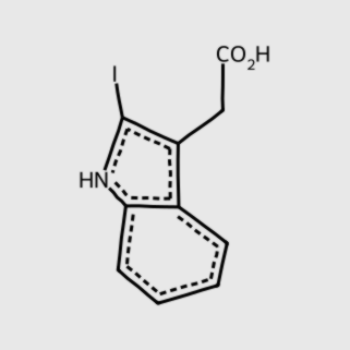 O=C(O)Cc1c(I)[nH]c2ccccc12